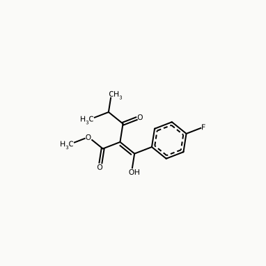 COC(=O)/C(C(=O)C(C)C)=C(\O)c1ccc(F)cc1